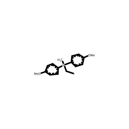 COc1ccc([Si](C)(CI)c2ccc(OC)cc2)cc1